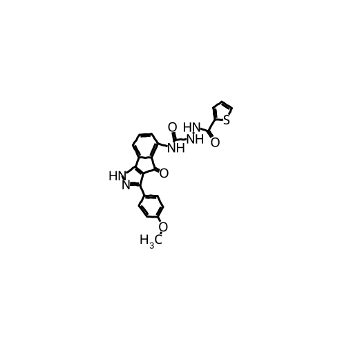 COc1ccc(-c2n[nH]c3c2C(=O)c2c(NC(=O)NNC(=O)c4cccs4)cccc2-3)cc1